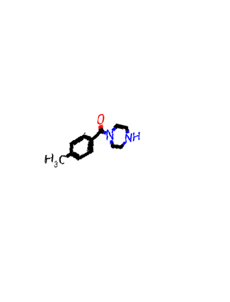 Cc1c[c]c(C(=O)N2CCNCC2)cc1